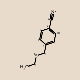 CCSCc1ccc(C#N)cc1